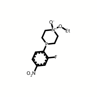 CCO[N+]1([O-])CCP(c2ccc([N+](=O)[O-])cc2F)CC1